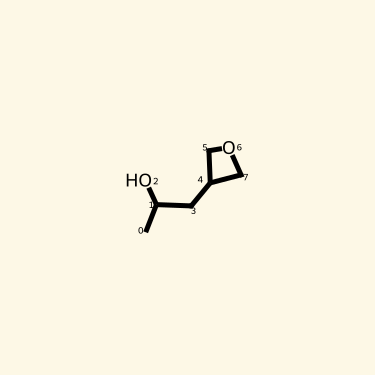 CC(O)CC1COC1